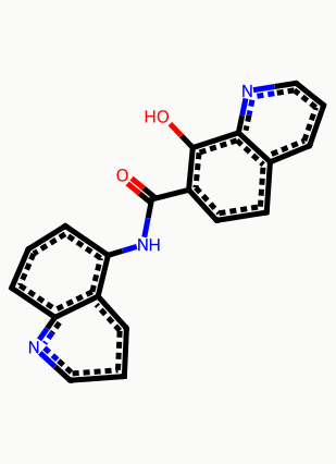 O=C(Nc1cccc2ncccc12)c1ccc2cccnc2c1O